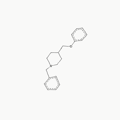 c1ccc(CN2CCC(COc3ccccc3)CC2)cc1